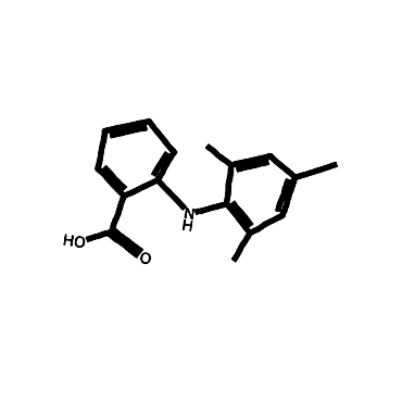 Cc1cc(C)c(Nc2ccccc2C(=O)O)c(C)c1